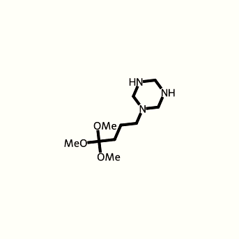 COC(CCCN1CNCNC1)(OC)OC